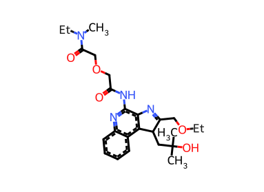 CCOCC1=Nc2c(NC(=O)COCC(=O)N(C)CC)nc3ccccc3c2C1CC(C)(C)O